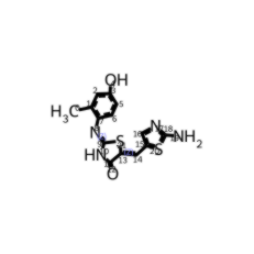 Cc1cc(O)ccc1/N=C1/NC(=O)/C(=C/c2cnc(N)s2)S1